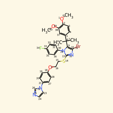 COc1ccc(C(C)(C)c2c(Br)nc(SCCOc3ccc(-n4ccnc4)cc3)n2-c2ccc(F)cc2)cc1OC